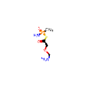 COP(N)(=O)SC(=O)COCN